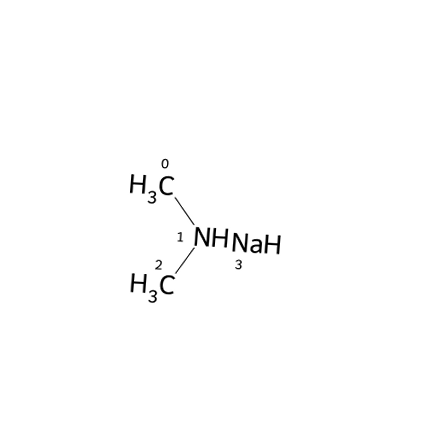 CNC.[NaH]